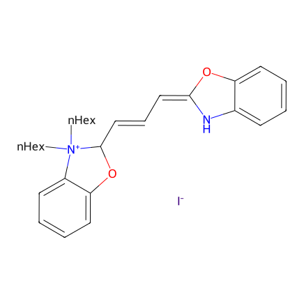 CCCCCC[N+]1(CCCCCC)c2ccccc2OC1C=CC=C1Nc2ccccc2O1.[I-]